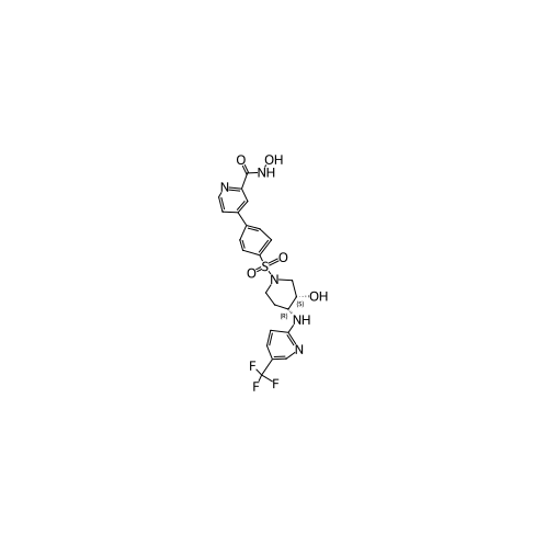 O=C(NO)c1cc(-c2ccc(S(=O)(=O)N3CC[C@@H](Nc4ccc(C(F)(F)F)cn4)[C@@H](O)C3)cc2)ccn1